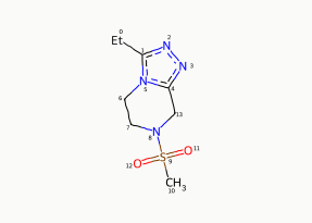 CCc1nnc2n1CCN(S(C)(=O)=O)C2